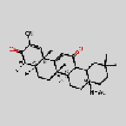 CC(=O)N[C@]12CCC(C)(C)CC1C1C(=O)C=C3[C@@]4(C)C=C(C#N)C(=O)[C@@H](C)[C@@H]4CC[C@@]3(C)[C@]1(C)CC2